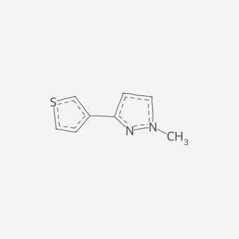 Cn1ccc(-c2ccsc2)n1